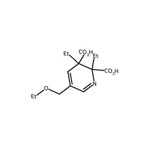 CCOCC1=CC(CC)(C(=O)O)C(CC)(C(=O)O)N=C1